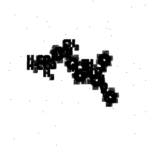 Cc1nc(C2CCN(c3cccc4c(-c5ccc(OCc6ccccc6)nc5OCc5ccccc5)nn(C)c34)CC2)c2n1CCN(C(=O)OC(C)(C)C)C2